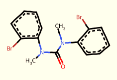 CN(C(=O)N(C)c1ccccc1Br)c1ccccc1Br